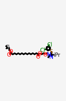 Cc1nc(C(C)C)c(Sc2cc(Cl)cc(Cl)c2)n1COCCOC(=O)CCCCCCCCCCCCCCC(=O)OCC[Si](C)(C)C